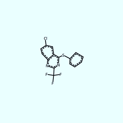 FC(F)(F)c1nc(Sc2ccccc2)c2cc(Cl)ccc2n1